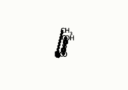 CCCCCCCCCCCCCCCC[n+]1ccccc1.O=C(O)c1ccc(SSc2ccc(C(=O)O)cc2)cc1